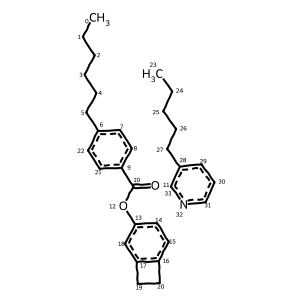 CCCCCCc1ccc(C(=O)Oc2ccc3c(c2)CC3)cc1.CCCCCc1cccnc1